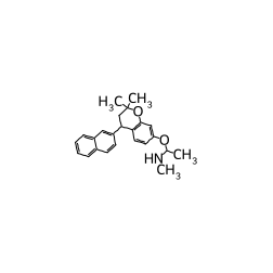 CNC(C)Oc1ccc2c(c1)OC(C)(C)CC2c1ccc2ccccc2c1